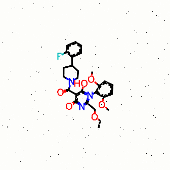 CCOCc1nc(=O)c(C(=O)N2CCC(c3ccccc3F)CC2)c(O)n1-c1c(OC)cccc1OC